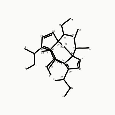 CCC(C)C1=C(C(C)CC)[C]([Ba][C]2(C(C)CC)C=CC(C(C)CC)=C2C(C)CC)(C(C)CC)C=C1